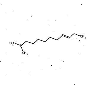 CC/C=C/CCCCCCP(C)C